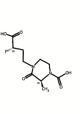 C[C@H]1C(=O)N(CC[C@H](F)C(=O)O)CCN1C(=O)O